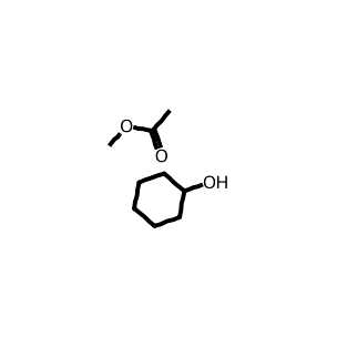 COC(C)=O.OC1CCCCC1